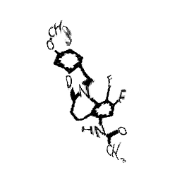 COc1ccc(CN2C(=O)CCc3c(NC(C)=O)cc(F)c(F)c32)cc1